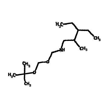 CCC(CC)C(C)CNCOCOC(C)(C)C